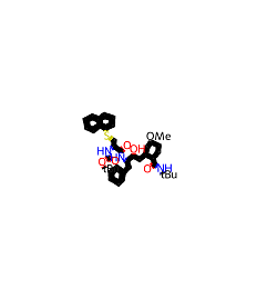 COC1CCC(C(=O)NC(C)(C)C)C(CC(O)C(Cc2ccccc2)NC(=O)C(CSc2cccc3ccccc23)NC(=O)OC(C)(C)C)C1